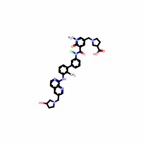 Cc1c(Nc2nccc3cc(CN4CCC(O)C4)cnc23)cccc1-c1cccc(N(Cl)C(=O)c2cc(CN3CCC(C(=O)O)C3)cn(C)c2=O)c1